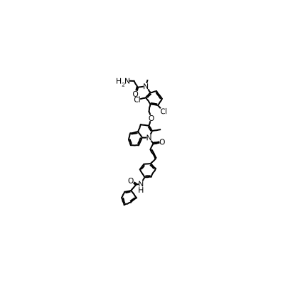 CC1=C(OCc2c(Cl)ccc(N(C)C(=O)CN)c2Cl)Cc2ccccc2N1C(=O)C=Cc1ccc(NC(=O)c2ccccc2)cc1